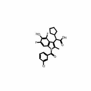 Cc1c(C(C(=O)O)C2CCCC2)c2c(F)c(O)c(F)cc2n1C(=O)c1cccc(Cl)c1